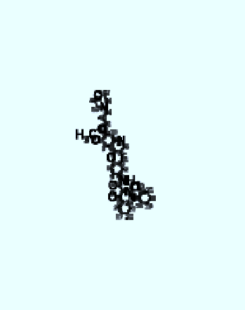 COc1cc2c(Oc3ccc(NC(=O)c4nn(-c5ccccc5Cl)c5ccccc5c4=O)cc3F)ccnc2cc1OCCCN1CCOCC1